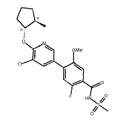 COc1cc(C(=O)NS(C)(=O)=O)c(F)cc1-c1cnc(O[C@@H]2CCC[C@H]2C)c(Cl)c1